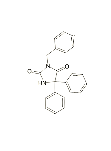 O=C1NC(c2ccccc2)(c2ccccc2)C(=O)N1Cc1cc[c]cc1